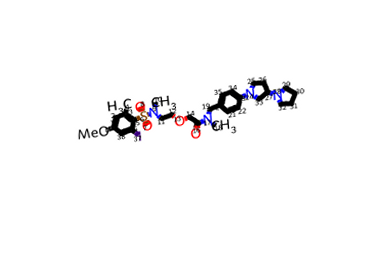 COc1cc(C)c(S(=O)(=O)N(C)CCOCC(=O)N(C)Cc2ccc(N3CCC(N4CCCC4)C3)cc2)c(I)c1